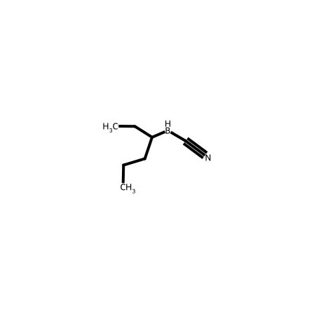 CCCC(BC#N)CC